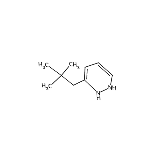 CC(C)(C)CC1=CC=CNN1